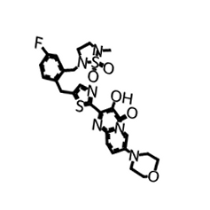 CN1CCN(Cc2cc(F)ccc2Cc2cnc(-c3nc4ccc(N5CCOCC5)cn4c(=O)c3O)s2)S1(=O)=O